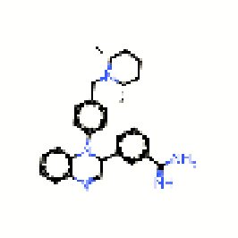 C[C@@H]1CCC[C@H](C)N1Cc1ccc(N2c3ccccc3N=CC2c2cccc(C(=N)N)c2)cc1